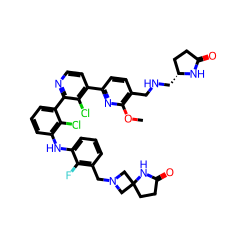 COc1nc(-c2ccnc(-c3cccc(Nc4cccc(CN5CC6(CCC(=O)N6)C5)c4F)c3Cl)c2Cl)ccc1CNC[C@@H]1CCC(=O)N1